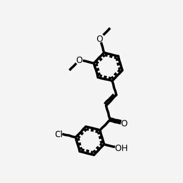 COc1ccc(C=CC(=O)c2cc(Cl)ccc2O)cc1OC